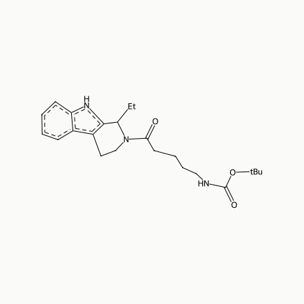 CCC1c2[nH]c3ccccc3c2CCN1C(=O)CCCCNC(=O)OC(C)(C)C